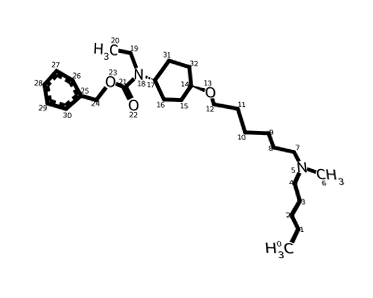 CCCCCN(C)CCCCCCO[C@H]1CC[C@H](N(CC)C(=O)OCc2ccccc2)CC1